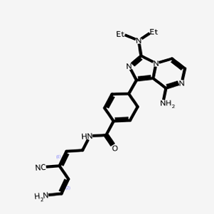 CCN(CC)c1nc(C2C=CC(C(=O)NC/C=C(C#N)\C=C/N)=CC2)c2c(N)nccn12